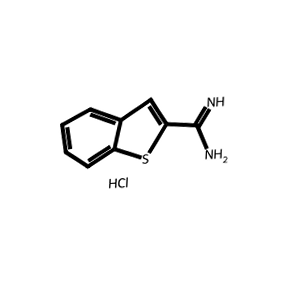 Cl.N=C(N)c1cc2ccccc2s1